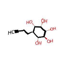 C#CCC[C@H]1[C@H](O)[C@H](O)[C@H](O)[C@@H](O)[C@@H]1O